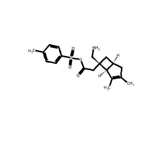 CC1=C(C)[C@@H]2[C@H](C1)C[C@@]2(CN)CC(=O)OS(=O)(=O)c1ccc(C)cc1